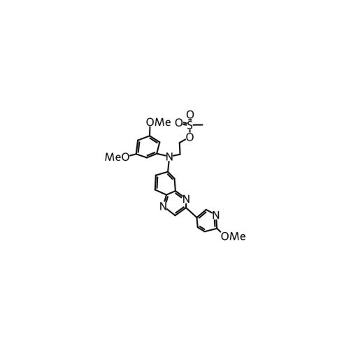 COc1cc(OC)cc(N(CCOS(C)(=O)=O)c2ccc3ncc(-c4ccc(OC)nc4)nc3c2)c1